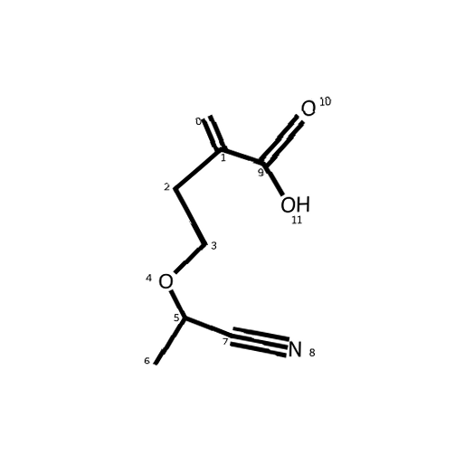 C=C(CCOC(C)C#N)C(=O)O